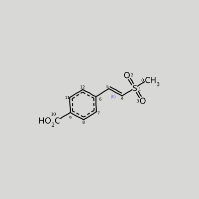 CS(=O)(=O)/C=C/c1ccc(C(=O)O)cc1